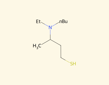 CCCCN(CC)C(C)CCS